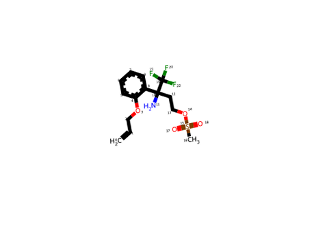 C=CCOc1ccccc1C(N)(CCOS(C)(=O)=O)C(F)(F)F